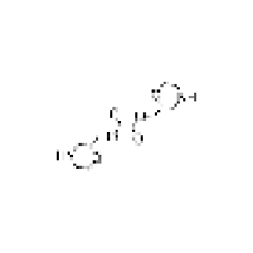 O=C(OCC1CNCCO1)C(=O)OCC1CNCCO1